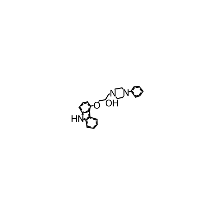 OC(COc1cccc2[nH]c3ccccc3c12)CN1CCN(c2ccccc2)CC1